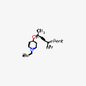 CCCCCC(C#C[C@H](C)OC1CCN(CC(C)CC)CC1)CCC